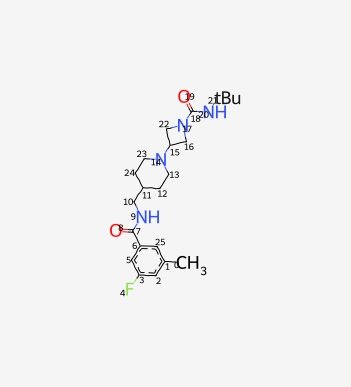 Cc1cc(F)cc(C(=O)NCC2CCN(C3CN(C(=O)NC(C)(C)C)C3)CC2)c1